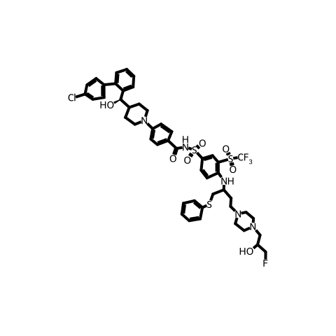 O=C(NS(=O)(=O)c1ccc(NC(CCN2CCN(CC(O)CF)CC2)CSc2ccccc2)c(S(=O)(=O)C(F)(F)F)c1)c1ccc(N2CCC([C@@H](O)c3ccccc3-c3ccc(Cl)cc3)CC2)cc1